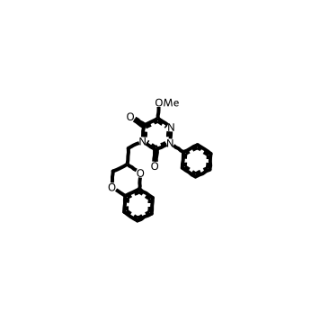 COc1nn(-c2ccccc2)c(=O)n(CC2COc3ccccc3O2)c1=O